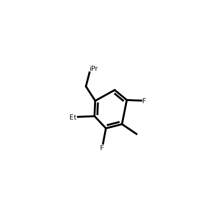 CCc1c(CC(C)C)cc(F)c(C)c1F